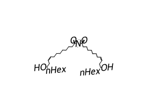 CCCCCC[C@@H](O)C/C=C\CCCCCCCC(=O)[N+](C)(C)C(=O)CCCCCCC/C=C\C[C@H](O)CCCCCC